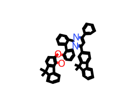 CC1(C)c2ccccc2-c2ccc(-c3cc(-c4ccccc4)nc(-c4ccccc4-c4cccc5c4Oc4ccc6c(c4O5)-c4ccccc4C6(C)C)n3)cc21